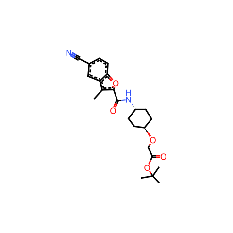 Cc1c(C(=O)N[C@H]2CC[C@H](OCC(=O)OC(C)(C)C)CC2)oc2ccc(C#N)cc12